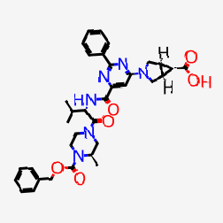 CC(C)[C@H](NC(=O)c1cc(N2C[C@@H]3[C@H](C2)[C@@H]3C(=O)O)nc(-c2ccccc2)n1)C(=O)N1CCN(C(=O)OCc2ccccc2)[C@H](C)C1